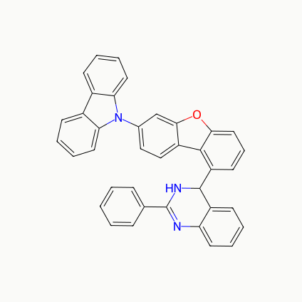 c1ccc(C2=Nc3ccccc3C(c3cccc4oc5cc(-n6c7ccccc7c7ccccc76)ccc5c34)N2)cc1